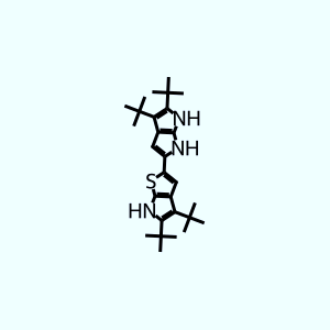 CC(C)(C)c1[nH]c2[nH]c(-c3cc4c(C(C)(C)C)c(C(C)(C)C)[nH]c4s3)cc2c1C(C)(C)C